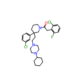 O=C(Cc1c(F)cccc1Cl)N1CCCC(CCN2CCN(C3CCCCC3)CC2)(c2cccc(Cl)c2)C1